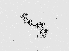 O=C(Nc1ccc(C(=O)O)cc1)OCCc1c[nH]c(-c2cc3nc(C(=O)O)c(=O)[nH]c3cc2[N+](=O)[O-])n1